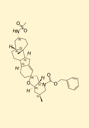 C[C@H]1C[C@H]2O[C@@]3(C=C4C[C@H]5C(CC[C@@H]6C[C@H](NS(C)(=O)=O)CC[C@@]65C)[C@@H]4CC3)C[C@@H]2N(C(=O)OCc2ccccc2)C1